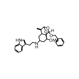 C=C1C2O[C@@H](OCc3ccccc3)C3C1CC(NCCc1c[nH]c4ccccc14)CC3(OC)O2